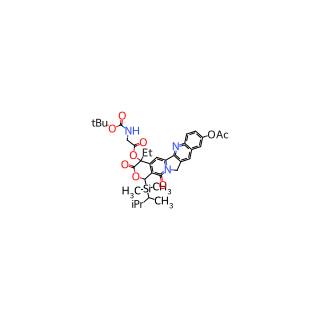 CCC1(OC(=O)CNC(=O)OC(C)(C)C)C(=O)OC([Si](C)(C)C(C)C(C)C)c2c1cc1n(c2=O)Cc2cc3cc(OC(C)=O)ccc3nc2-1